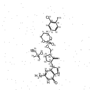 C=C1[C@H](CO[P@]2(=O)OCC[C@H](c3ccc(F)c(Cl)c3)O2)[C@@H](O[Si](C)(C)C(C)(C)C)C[C@@H]1n1cnc2c(=O)[nH]c(N)nc21